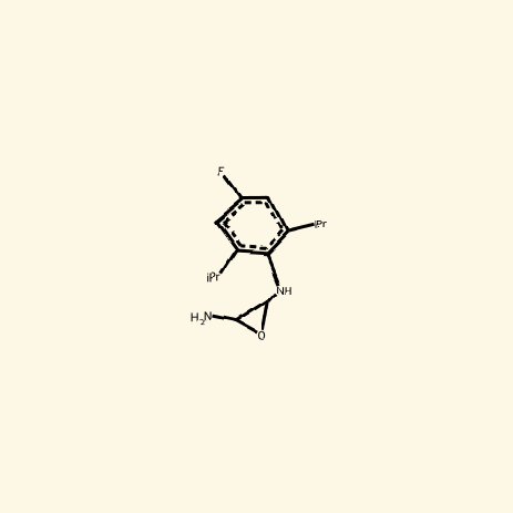 CC(C)c1cc(F)cc(C(C)C)c1NC1OC1N